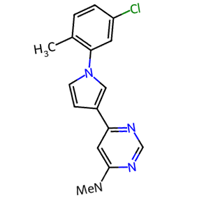 CNc1cc(-c2ccn(-c3cc(Cl)ccc3C)c2)ncn1